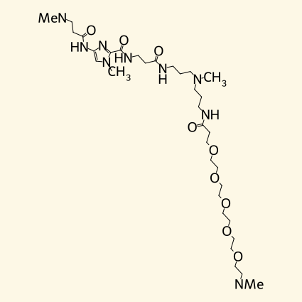 CNCCOCCOCCOCCOCCOCCC(=O)NCCCN(C)CCCNC(=O)CCNC(=O)c1nc(NC(=O)CCNC)cn1C